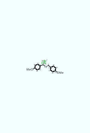 Br.Br.COc1ccc(C[Te+]Cc2ccc(OC)cc2)cc1